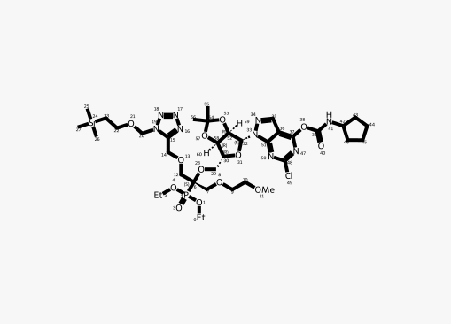 CCOP(=O)(OCC)[C@](COCCOC)(COCc1nnnn1COCC[Si](C)(C)C)OC[C@H]1O[C@@H](n2ncc3c(OC(=O)NC4CCCC4)nc(Cl)nc32)[C@@H]2OC(C)(C)O[C@@H]21